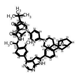 Cc1cc(-c2ncnc3[nH]c(-c4ccc(C5CC6CCC(C5)N6CC5CCN(c6ccc(N7CCC(=O)NC7=O)cn6)CC5)cc4)cc23)ccc1C(C)NC(=O)c1nc(C(C)(C)C)no1